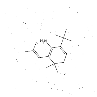 CC(C)=CC1=C(N)C(C(C)(C)C)=CCC1(C)C